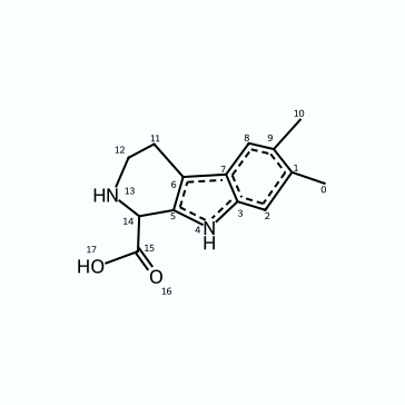 Cc1cc2[nH]c3c(c2cc1C)CCNC3C(=O)O